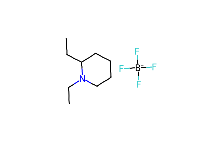 CCC1CCCCN1CC.F[B-](F)(F)F